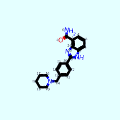 NC(=O)c1cccc2[nH]c(-c3ccc(CN4CCCCC4)cc3)nc12